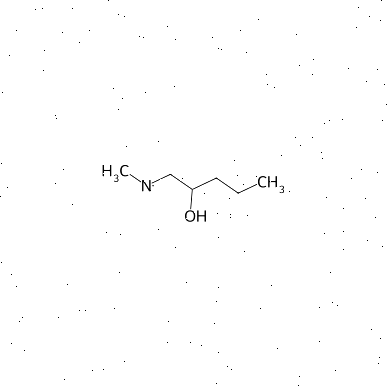 CCCC(O)C[N]C